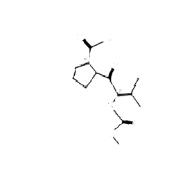 COC(=O)N[C@@H](C(=O)C1CCC[C@H]1C(=O)O)C(C)C